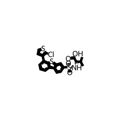 CC(C)[C@H](NS(=O)(=O)c1ccc2c(c1)sc1c(-c3ccsc3Cl)cccc12)C(=O)O